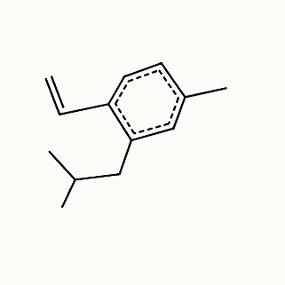 C=Cc1ccc(C)cc1CC(C)C